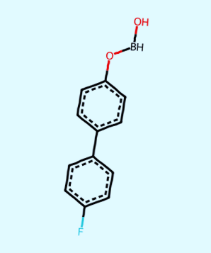 OBOc1ccc(-c2ccc(F)cc2)cc1